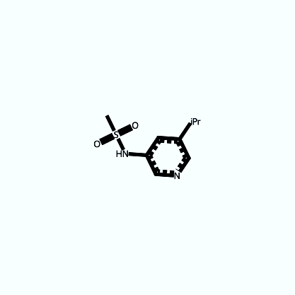 CC(C)c1cncc(NS(C)(=O)=O)c1